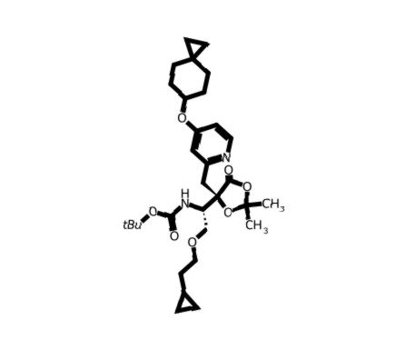 CC(C)(C)OC(=O)N[C@@H](COCCC1CC1)[C@@]1(Cc2cc(OC3CCC4(CC3)CC4)ccn2)OC(C)(C)OC1=O